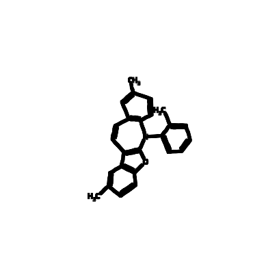 Cc1ccc2c(c1)C=Cc1c(oc3ccc(C)cc13)N2c1ccccc1C